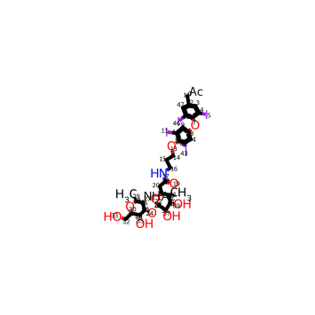 CC(=O)Cc1cc(I)c(Oc2cc(I)c(OCCCNC(=O)CC3O[C@@H](O[C@@H]4C(NC(C)=O)[C@H](C)OC(CO)[C@H]4O)C(O)[C@@H](O)[C@@H]3C)c(I)c2)c(I)c1